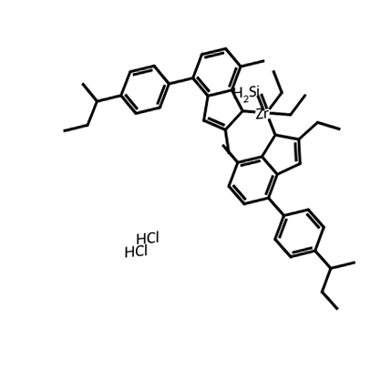 CCC1=Cc2c(-c3ccc(C(C)CC)cc3)ccc(C)c2[CH]1[Zr](=[SiH2])([CH2]C)([CH2]C)[CH]1C(C)=Cc2c(-c3ccc(C(C)CC)cc3)ccc(C)c21.Cl.Cl